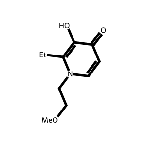 CCc1c(O)c(=O)ccn1CCOC